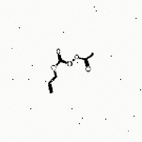 C=CCOC(=O)OOC(C)=O